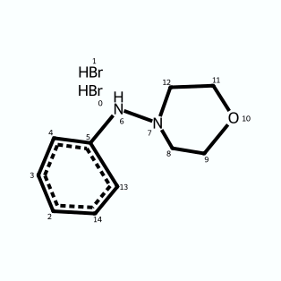 Br.Br.c1ccc(NN2CCOCC2)cc1